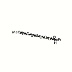 CCCNC(=O)CCOCCOCCOCCOCCOCCOCCOCCOC